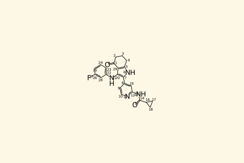 O=C1CCCc2[nH]c(-c3ccnc(NC(=O)C4CC4)c3)c(Nc3cccc(F)c3)c21